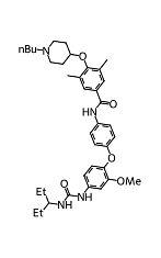 CCCCN1CCC(Oc2c(C)cc(C(=O)Nc3ccc(Oc4ccc(NC(=O)NC(CC)CC)cc4OC)cc3)cc2C)CC1